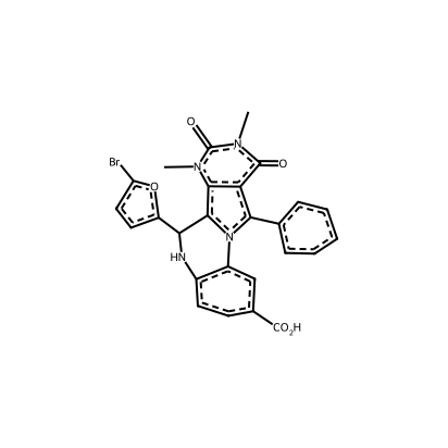 Cn1c(=O)c2c(-c3ccccc3)n3c(c2n(C)c1=O)C(c1ccc(Br)o1)Nc1ccc(C(=O)O)cc1-3